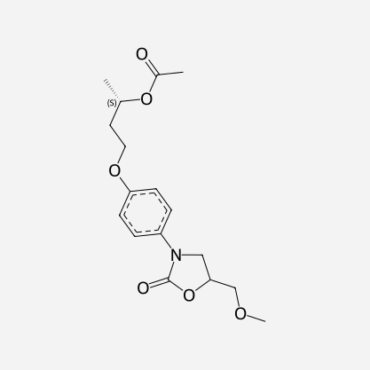 COCC1CN(c2ccc(OCC[C@H](C)OC(C)=O)cc2)C(=O)O1